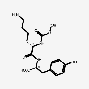 CC(C)(C)OC(=O)N[C@@H](CCCCN)C(=O)N[C@@H](Cc1ccc(O)cc1)C(=O)O